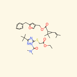 CC(C)=CC1C(C(=O)OCc2coc(Cc3ccccc3)c2)C1(C)C.CCOC(=O)CSc1nc(C(C)(C)C)nn1C(=O)N(C)C